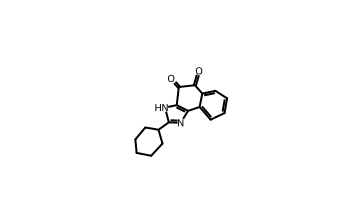 O=C1C(=O)c2[nH]c(C3CCCCC3)nc2-c2ccccc21